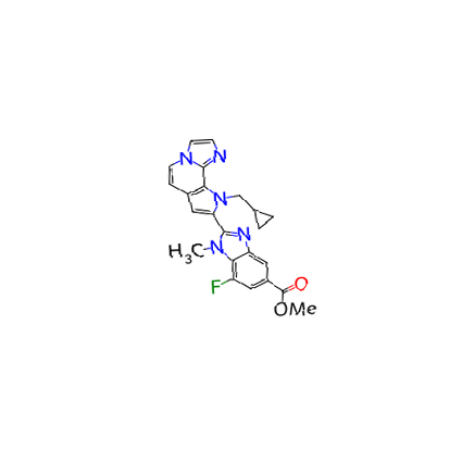 COC(=O)c1cc(F)c2c(c1)nc(-c1cc3ccn4ccnc4c3n1CC1CC1)n2C